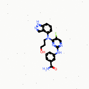 NC(=O)c1cccc(Nc2ncc(F)c(N(CCCO)c3cccc4[nH]ncc34)n2)c1